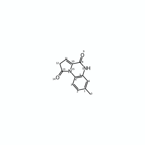 Cc1ccc2c(c1)NC(=O)C1=CCC(=O)N12